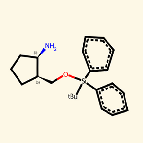 CC(C)(C)[Si](OC[C@H]1CCC[C@H]1N)(c1ccccc1)c1ccccc1